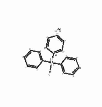 Br[PH](c1ccccc1)(c1ccccc1)c1ccccc1.[Ag]